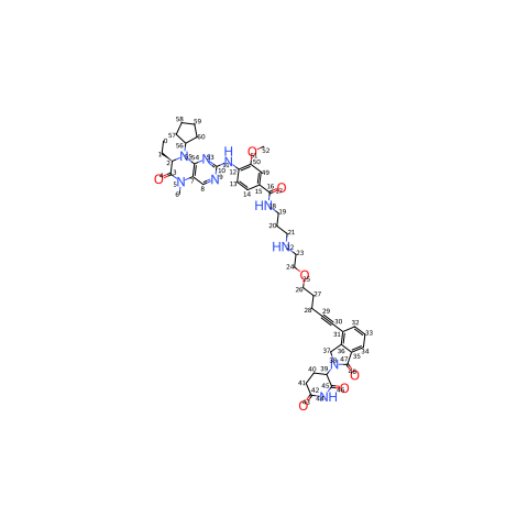 CC[C@@H]1C(=O)N(C)c2cnc(Nc3ccc(C(=O)NCCCNCCOCCCC#Cc4cccc5c4CN(C4CCC(=O)NC4=O)C5=O)cc3OC)nc2N1C1CCCC1